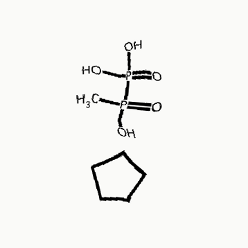 C1CCCC1.CP(=O)(O)P(=O)(O)O